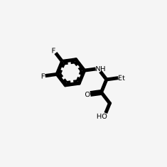 CCC(Nc1ccc(F)c(F)c1)C(=O)CO